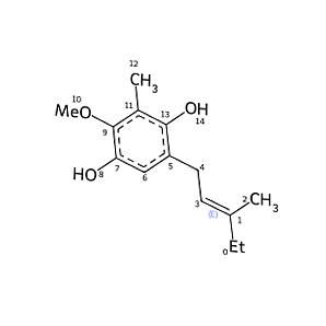 CC/C(C)=C/Cc1cc(O)c(OC)c(C)c1O